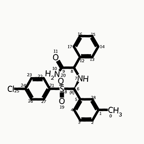 Cc1cccc([C@H](NC(C(N)=O)c2ccccc2)S(=O)(=O)c2ccc(Cl)cc2)c1